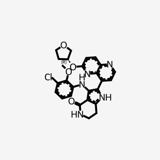 COc1c(Cl)cccc1Nc1c(-c2ccnc3ccc(O[C@@H]4CCOC4)nc23)[nH]c2c1C(=O)NCC2